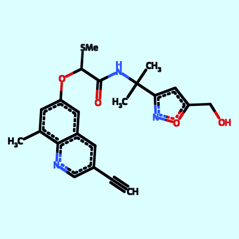 C#Cc1cnc2c(C)cc(OC(SC)C(=O)NC(C)(C)c3cc(CO)on3)cc2c1